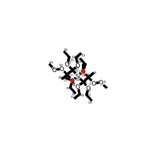 CCOC(C)(OOC)C(OCC)(OCC)[Si](OC)(OC)C(OCC)(OCC)C(C)(OCC)OOC